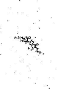 CC(=O)Nc1nc(=O)c(N2CCN(C(=O)[C@@H](N)CCN)CC2)c[nH]1